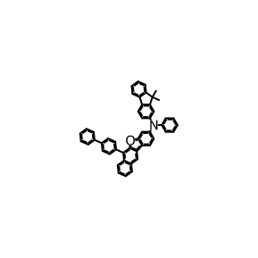 CC1(C)c2ccccc2-c2ccc(N(c3ccccc3)c3ccc4c(c3)oc3c(-c5ccc(-c6ccccc6)cc5)c5ccccc5cc34)cc21